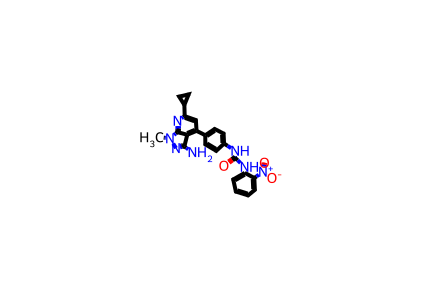 Cn1nc(N)c2c(-c3ccc(NC(=O)Nc4ccccc4[N+](=O)[O-])cc3)cc(C3CC3)nc21